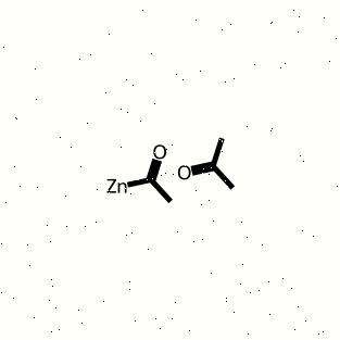 CC(C)=O.C[C](=O)[Zn]